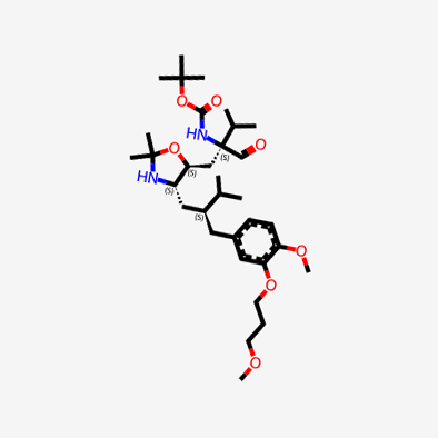 COCCCOc1cc(C[C@@H](C[C@@H]2NC(C)(C)O[C@H]2C[C@](C=O)(NC(=O)OC(C)(C)C)C(C)C)C(C)C)ccc1OC